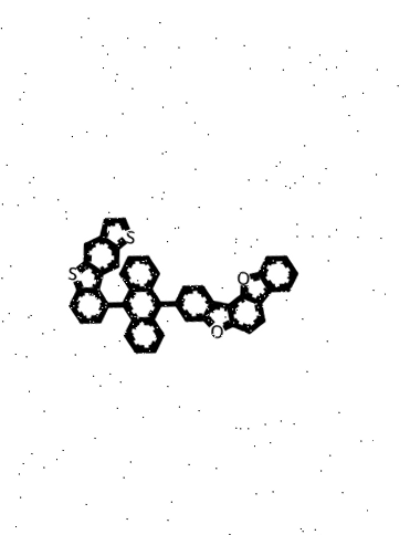 c1ccc2c(c1)oc1c2ccc2oc3cc(-c4c5ccccc5c(-c5cccc6sc7cc8ccsc8cc7c56)c5ccccc45)ccc3c21